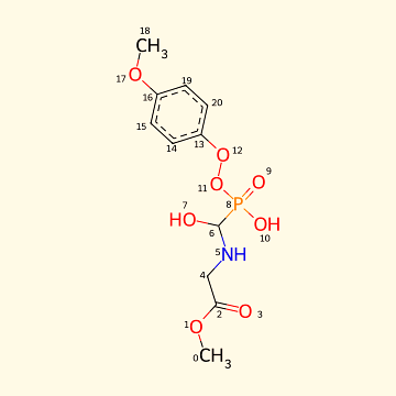 COC(=O)CNC(O)P(=O)(O)OOc1ccc(OC)cc1